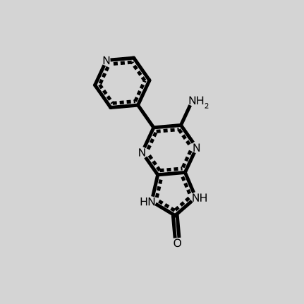 Nc1nc2[nH]c(=O)[nH]c2nc1-c1ccncc1